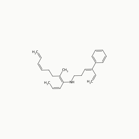 C=C/C=C\CCC(C)=C(/C=C\C)NCC/C=C(\C=C)c1ccccc1